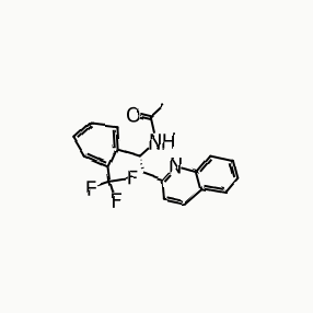 CC(=O)N[C@H](Cc1ccc2ccccc2n1)c1ccccc1C(F)(F)F